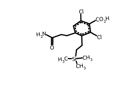 C[Si](C)(C)CCc1c(CCC(N)=O)cc(Cl)c(C(=O)O)c1Cl